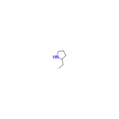 [CH2]CC1CCCN1